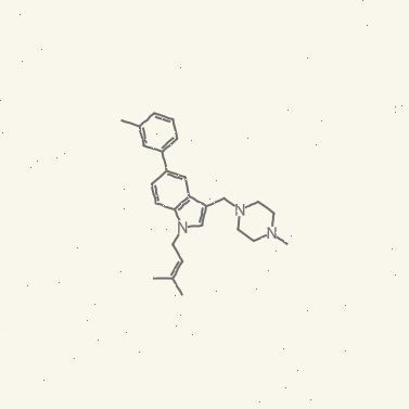 CC(C)=CCn1cc(CN2CCN(C)CC2)c2cc(-c3cccc(C)c3)ccc21